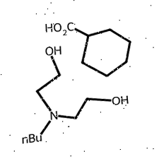 CCCCN(CCO)CCO.O=C(O)C1CCCCC1